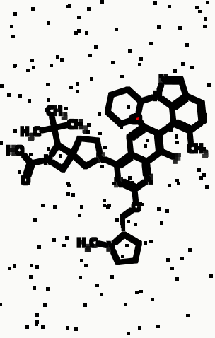 Cc1ccc2cnn(C3CCCCO3)c2c1-c1c(Cl)cc2c(N3CCC4(C3)CN(C(=O)O)C4C(C)(C)C)nc(OC[C@@H]3CCCN3C)nc2c1F